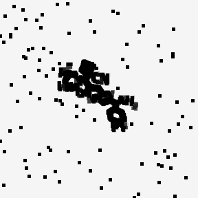 N#CC1(C(c2cnn3cc([C@@H](N)C4CCC(F)(F)CC4)nc3c2)N2CC(F)(F)CNC2=O)CCC1